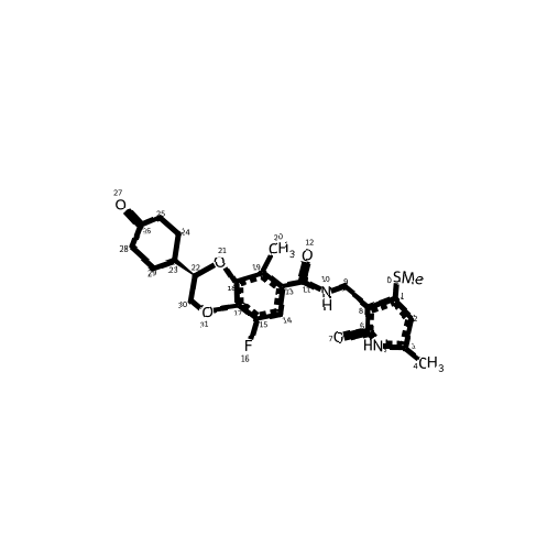 CSc1cc(C)[nH]c(=O)c1CNC(=O)c1cc(F)c2c(c1C)O[C@H](C1CCC(=O)CC1)CO2